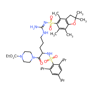 CCOC(=O)N1CCN(C(=O)C(CCCNC(N)=NS(=O)(=O)c2c(C)c(C)c3c(c2C)CC(C)(C)O3)NS(=O)(=O)c2c(C(C)C)cc(C(C)C)cc2C(C)C)CC1